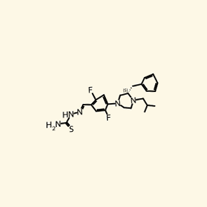 CC(C)CN1CCN(c2cc(F)c(C=NNC(N)=S)cc2F)C[C@@H]1Cc1ccccc1